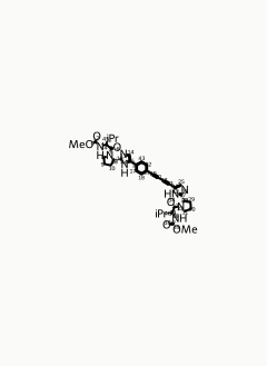 COC(=O)NC(C(=O)N1CCC[C@H]1c1ncc(-c2ccc(C#CC#Cc3cnc([C@@H]4CCCN4C(=O)[C@@H](NC(=O)OC)C(C)C)[nH]3)cc2)[nH]1)C(C)C